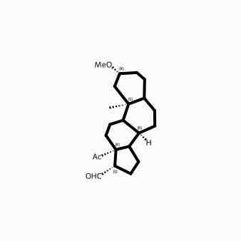 CO[C@@H]1CCC2CC[C@@H]3C(CC[C@@]4(C(C)=O)C3CC[C@@H]4C=O)[C@@]2(C)C1